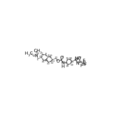 CCN(CC)Cc1ccc2cc(COC(=O)Nc3ccc(-c4noc(C(F)(F)F)n4)cc3)ccc2c1